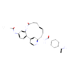 C=C(N)[C@H]1CC[C@H](C(=O)N[C@H]2C/C=C/CCC(=O)Nc3cc(NC(=O)OC)ccc3-c3ccnc2c3)CC1